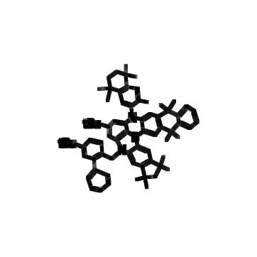 Cc1cc2c(cc1N1c3cc4c(cc3B3c5cc6c(cc5N(Cc5ccc(C(C)(C)C)cc5-c5ccccc5)c5cc(C(C)(C)C)cc1c53)C(C)(C)CC6(C)C)C(C)(C)c1ccccc1C4(C)C)C(C)(C)CCC2(C)C